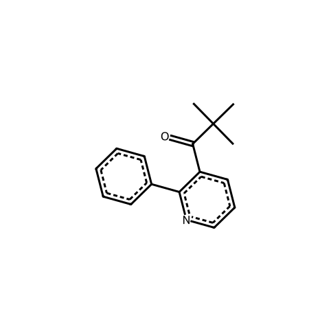 CC(C)(C)C(=O)c1cccnc1-c1ccccc1